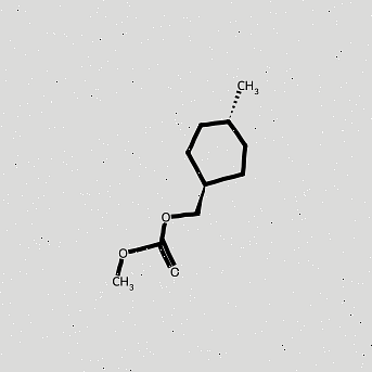 COC(=O)OC[C@H]1CC[C@H](C)CC1